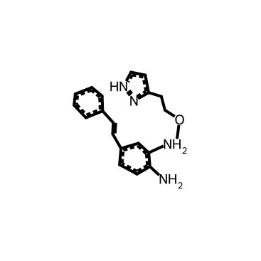 COCCc1cc[nH]n1.Nc1ccc(C=Cc2ccccc2)cc1N